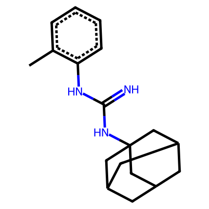 Cc1ccccc1NC(=N)NC12CC3CC(CC(C3)C1)C2